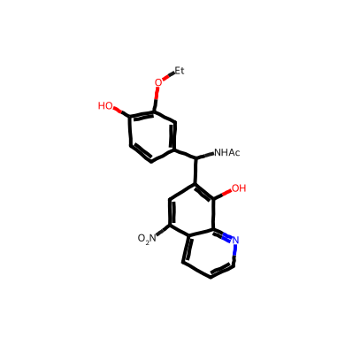 CCOc1cc(C(NC(C)=O)c2cc([N+](=O)[O-])c3cccnc3c2O)ccc1O